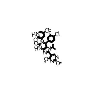 COc1ncc(-c2nc3c(n2C(C)C)C(c2ccc(Cl)c(F)c2)N(c2cc(Cl)c[nH]c2=O)C(=O)N3)c(OC)n1